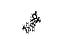 N#CC1(NC(=O)[C@@H]2C[C@@H](S(=O)(=O)c3ccc(F)cc3C(F)(F)F)CN2)CC1